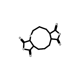 O=C1OC(=O)C2CCCC3C(=O)OC(=O)C3CCCCC12